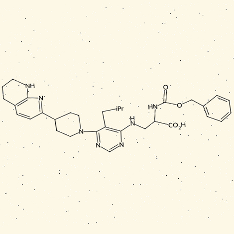 CC(C)Cc1c(NCC(NC(=O)OCc2ccccc2)C(=O)O)ncnc1N1CCC(c2ccc3c(n2)NCCC3)CC1